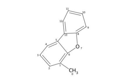 Cc1cccc2c1oc1ccccc12